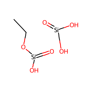 CCO[Si](=O)O.O=[Si](O)O